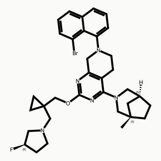 C[C@@]12CC[C@H](CN(c3nc(OCC4(CN5CC[C@@H](F)C5)CC4)nc4c3CCN(c3cccc5cccc(Br)c35)C4)C1)C2